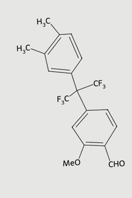 COc1cc(C(c2ccc(C)c(C)c2)(C(F)(F)F)C(F)(F)F)ccc1C=O